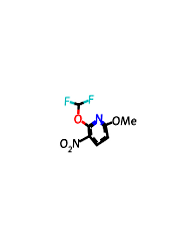 COc1ccc([N+](=O)[O-])c(OC(F)F)n1